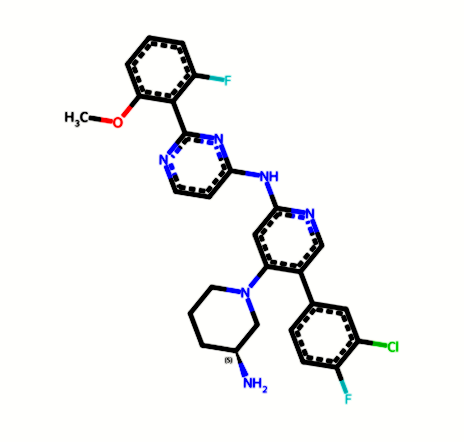 COc1cccc(F)c1-c1nccc(Nc2cc(N3CCC[C@H](N)C3)c(-c3ccc(F)c(Cl)c3)cn2)n1